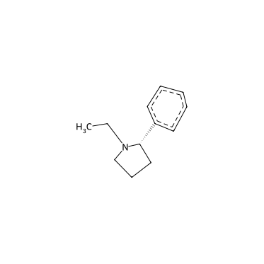 CCN1CCC[C@H]1c1ccccc1